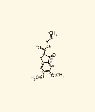 C=CCOC(=O)C1Cc2cc(OC)c(OC)cc2C1=O